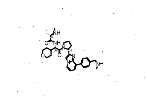 CN[C@@H](C)C(=O)N[C@H](C(=O)N1CCC[C@H]1c1cn2cccc(-c3ccc(CN(C)C)cc3)c2n1)C1CCOCC1